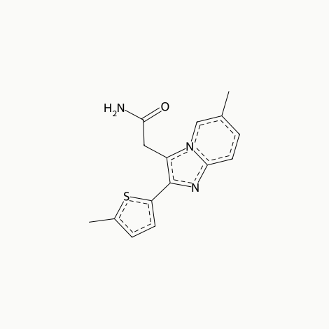 Cc1ccc2nc(-c3ccc(C)s3)c(CC(N)=O)n2c1